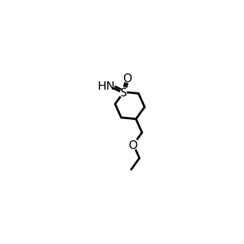 CCOCC1CCS(=N)(=O)CC1